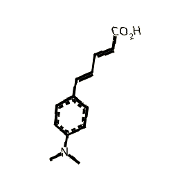 CN(C)c1ccc(C=CC=CC(=O)O)cc1